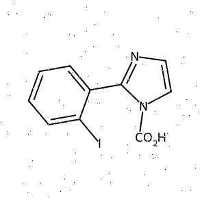 O=C(O)n1ccnc1-c1ccccc1I